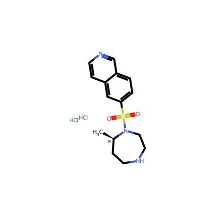 C[C@@H]1CCNCCN1S(=O)(=O)c1ccc2cnccc2c1.Cl.Cl